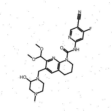 COC(OC)c1nc2c(cc1CN1CCN(C)CC1O)CCCN2C(=O)Nc1cc(F)c(C#N)cn1